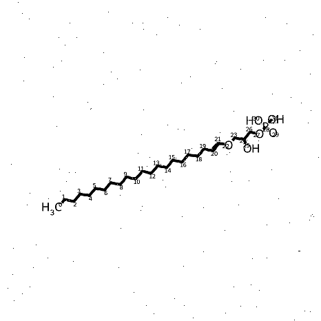 CCCCCCCCCCCCCCCCCCCCC=COCC(O)COP(=O)(O)O